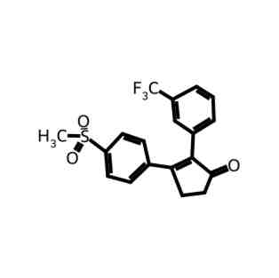 CS(=O)(=O)c1ccc(C2=C(c3cccc(C(F)(F)F)c3)C(=O)CC2)cc1